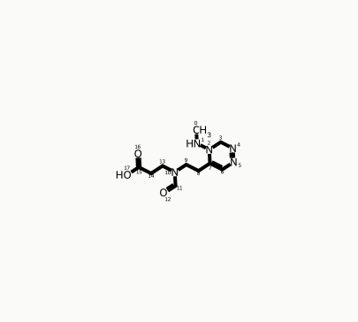 CNN1CN=NC=C1CCN(C=O)CCC(=O)O